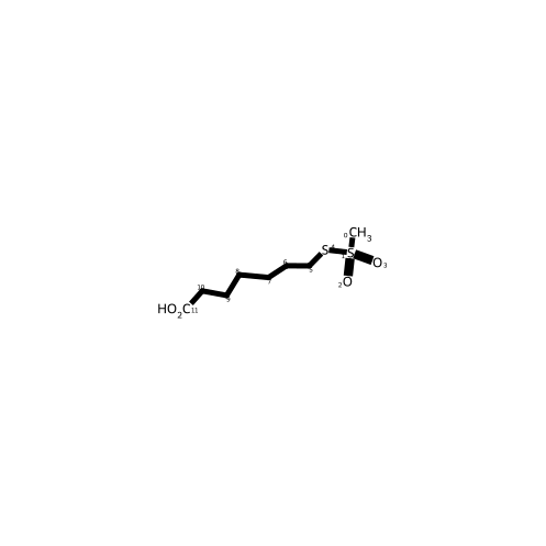 CS(=O)(=O)SCCCCCCC(=O)O